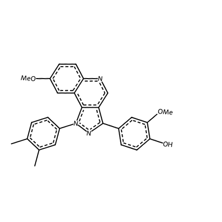 COc1ccc2ncc3c(-c4ccc(O)c(OC)c4)nn(-c4ccc(C)c(C)c4)c3c2c1